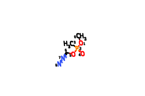 COP(C)(=O)OC=[N+]=[N-]